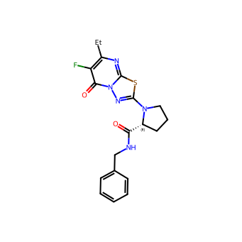 CCc1nc2sc(N3CCC[C@@H]3C(=O)NCc3ccccc3)nn2c(=O)c1F